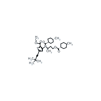 COC(=O)c1sc(C#CC(C)(C)C)cc1N(C(=O)[C@H]1CC[C@H](C)CC1)[C@@H](C)CCOC(=O)[C@H]1CC[C@H](C)CC1